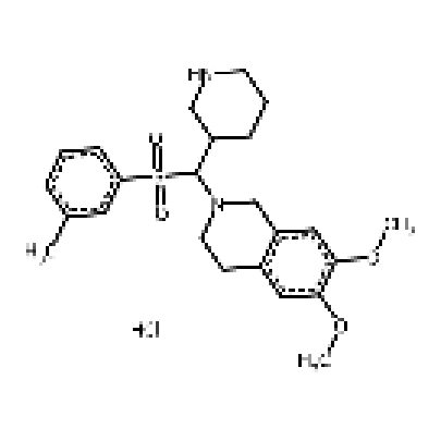 COc1cc2c(cc1OC)CN(C(C1CCCNC1)S(=O)(=O)c1cccc(C)c1)CC2.Cl